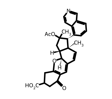 CC(=O)OC1(C)C[C@H]2[C@@H]3OC4=C(C=C3C=C[C@]2(C)[C@H]1c1cccc2cnccc12)C(=O)CC(C(=O)O)C4